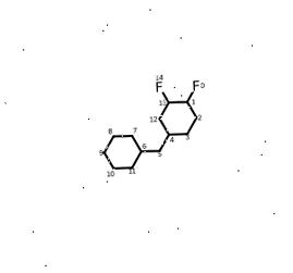 FC1CCC(CC2CCCCC2)CC1F